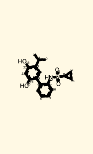 CC(C)c1cc(-c2ccccc2NS(=O)(=O)C2CC2)c(O)cc1O